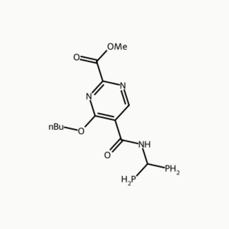 CCCCOc1nc(C(=O)OC)ncc1C(=O)NC(P)P